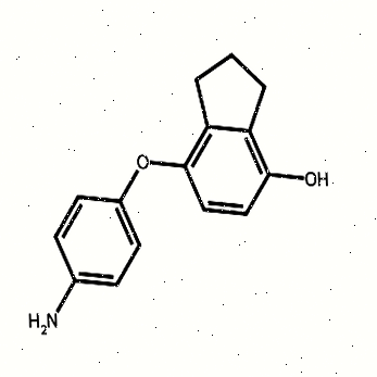 Nc1ccc(Oc2ccc(O)c3c2CCC3)cc1